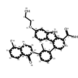 Cc1c(-c2cnc(C(N)=O)c3[nH]c4cc(OCCO)ccc4c23)cccc1-n1cnc2c(F)cccc2c1=O